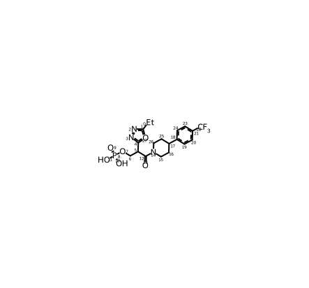 CCc1nnc(C(COP(=O)(O)O)C(=O)N2CCC(c3ccc(C(F)(F)F)cc3)CC2)o1